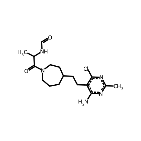 Cc1nc(N)c(CCC2CCCN(C(=O)C(C)NC=O)CC2)c(Cl)n1